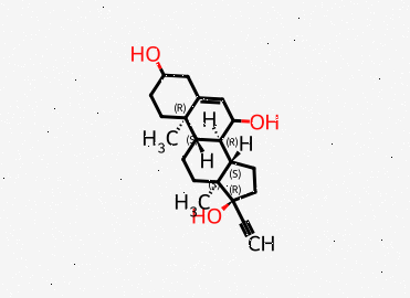 C#C[C@@]1(O)CC[C@H]2[C@@H]3C(O)C=C4CC(O)CC[C@]4(C)[C@H]3CC[C@@]21C